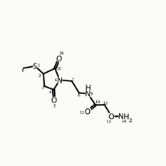 CSC1CC(=O)N(CCNC(=O)CON)C1=O